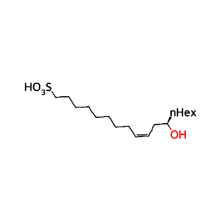 CCCCCC[C@@H](O)C/C=C\CCCCCCCCS(=O)(=O)O